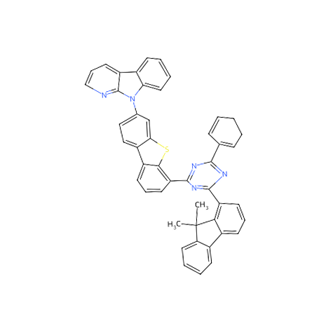 CC1(C)c2ccccc2-c2cccc(-c3nc(C4=CCCC=C4)nc(-c4cccc5c4sc4cc(-n6c7ccccc7c7cccnc76)ccc45)n3)c21